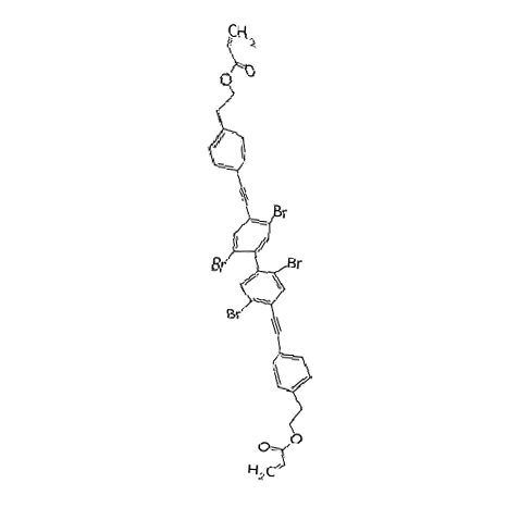 C=CC(=O)OCCc1ccc(C#Cc2cc(Br)c(-c3cc(Br)c(C#Cc4ccc(CCOC(=O)C=C)cc4)cc3Br)cc2Br)cc1